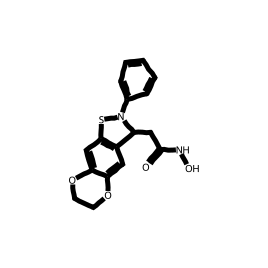 O=C(CC1c2cc3c(cc2SN1c1ccccc1)OCCO3)NO